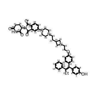 CCC(=C(c1ccc(O)cc1)c1ccc(OCCN2CC(CCN3CCN(c4ccc5c(c4)C(=O)N(C4CCC(=O)NC4=O)C5=O)CC3)C2)cc1)c1ccccc1